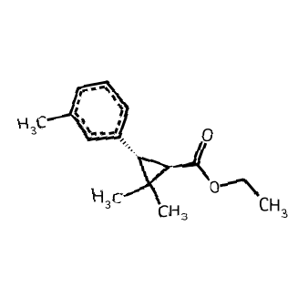 CCOC(=O)[C@@H]1[C@@H](c2cccc(C)c2)C1(C)C